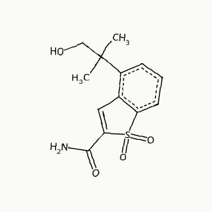 CC(C)(CO)c1cccc2c1C=C(C(N)=O)S2(=O)=O